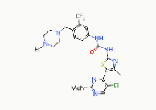 CCN1CCN(Cc2ccc(NC(=O)Nc3nc(C)c(-c4nc(NC)ncc4Cl)s3)cc2C(F)(F)F)CC1